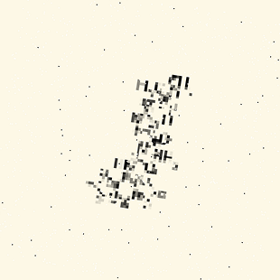 CO[C@@]1(C)COc2c([S@](N)(=O)=NC(=O)Nc3c4c(cc5c3CCC5)CCC4)cnn2C1